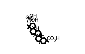 CC1(C(=O)O)CC[C@]2(C)CC[C@]3(C)C(=CC[C@@H]4[C@@]5(C)CC[C@H](OP(=O)(O)O)C(C)(C)C5CC[C@]43C)[C@@H]2C1